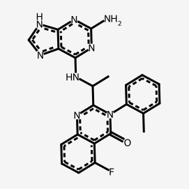 Cc1ccccc1-n1c(C(C)Nc2nc(N)nc3[nH]cnc23)nc2cccc(F)c2c1=O